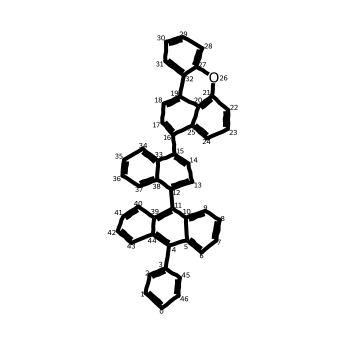 c1ccc(-c2c3ccccc3c(-c3ccc(-c4ccc5c6c(cccc46)Oc4ccccc4-5)c4ccccc34)c3ccccc23)cc1